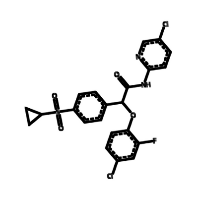 O=C(Nc1ccc(Cl)cn1)C(Oc1ccc(Cl)cc1F)c1ccc(S(=O)(=O)C2CC2)cc1